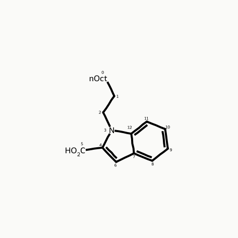 CCCCCCCCCCn1c(C(=O)O)cc2ccccc21